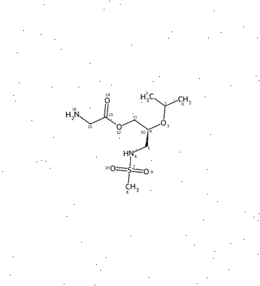 CC(C)O[C@@H](CNS(C)(=O)=O)COC(=O)CN